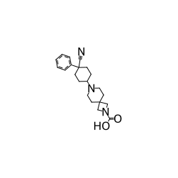 N#CC1(c2ccccc2)CCC(N2CCC3(CC2)CN(C(=O)O)C3)CC1